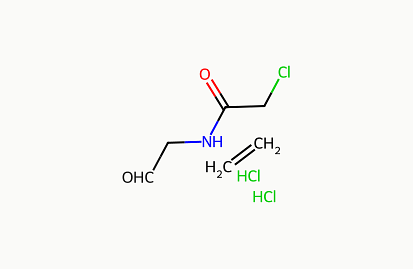 C=C.Cl.Cl.O=CCNC(=O)CCl